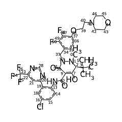 CN1[C@@H](C(C)(C)C)C(O)=C(C(=O)Nc2ccc(Cl)cc2-c2cc(C(F)(F)F)ncn2)C(=O)N1Cc1ccc(OCCN2CCOCC2)c(F)c1F